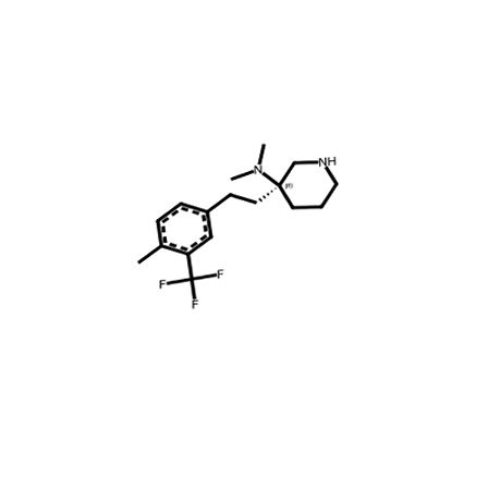 Cc1ccc(CC[C@@]2(N(C)C)CCCNC2)cc1C(F)(F)F